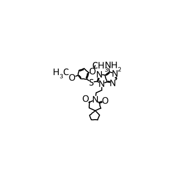 COc1ccc(OC)c(Sc2nc3c(N)ncnc3n2CCN2C(=O)CC3(CCCC3)CC2=O)c1